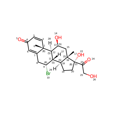 C[C@]12C=CC(=O)C=C1C[C@@H](Br)[C@@H]1[C@@H]2[C@@H](O)C[C@@]2(C)[C@H]1CC[C@]2(O)C(=O)CO